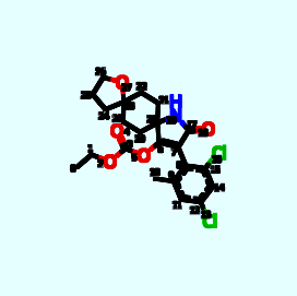 CCOC(=O)OC1=C(c2c(C)cc(Cl)cc2Cl)C(=O)NC12CCC1(CCCO1)CC2